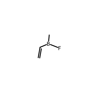 C=CB(C)F